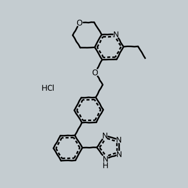 CCc1cc(OCc2ccc(-c3ccccc3-c3nnn[nH]3)cc2)c2c(n1)COCC2.Cl